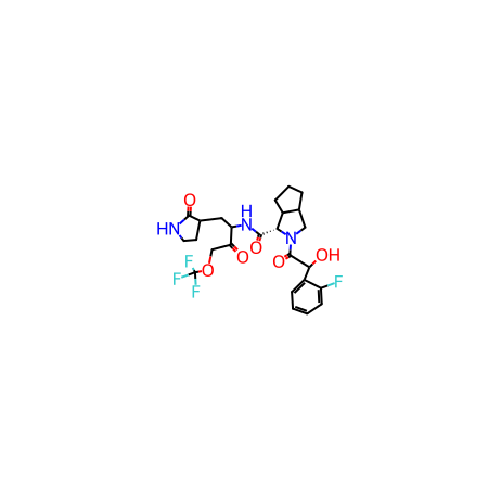 O=C1NCCC1CC(NC(=O)[C@@H]1C2CCCC2CN1C(=O)C(O)c1ccccc1F)C(=O)COC(F)(F)F